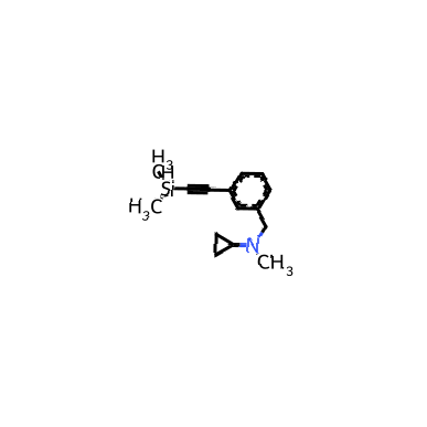 CN(Cc1cccc(C#C[SiH](C)C)c1)C1CC1